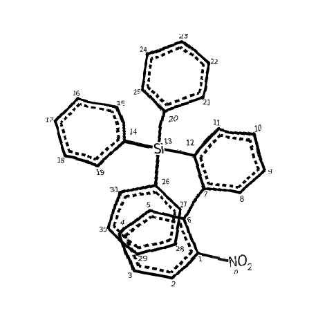 O=[N+]([O-])c1ccccc1-c1ccccc1[Si](c1ccccc1)(c1ccccc1)c1ccccc1